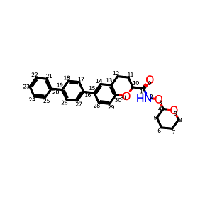 O=C(NOC1CCCCO1)C1CCc2cc(-c3ccc(-c4ccccc4)cc3)ccc2O1